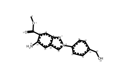 COC(=O)c1cc2nn(-c3ccc(CO)cc3)cc2cc1N